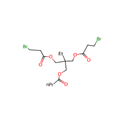 CCCC(=O)OCC(CC)(COC(=O)CCBr)COC(=O)CCBr